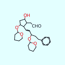 O=CCC1C(O)CC(OC2CCCCO2)C1C=CC(CCc1ccccc1)OC1CCCCO1